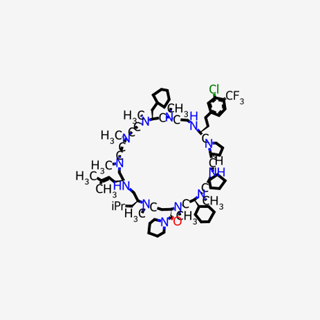 CC(C)=CC[C@H]1CN(C)CCN(C)CCN(C)[C@@H](CC2CCCCC2)CN(C)CCN[C@@H](CCc2ccc(C(F)(F)F)c(Cl)c2)CN2CCC[C@H]2CNC2(CCCC2)CN(C)[C@@H](C2CCCCC2)CN(C)[C@H](C(=O)N2CCCCC2)CCN(C)[C@@H](CC(C)C)CN1